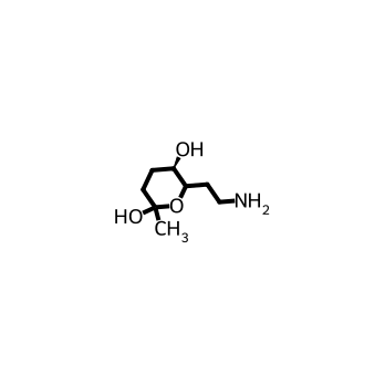 CC1(O)CC[C@@H](O)C(CCN)O1